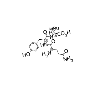 CC[C@H](C)[C@H](NC(=O)[C@H](Cc1ccc(O)cc1)NC(=O)[C@@H](N)CCC(N)=O)C(=O)O